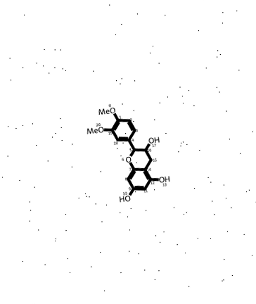 COc1ccc(C2Oc3cc(O)cc(O)c3CC2O)cc1OC